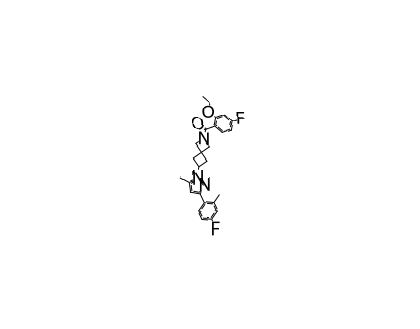 CCOc1cc(F)ccc1C(=O)N1CC2(CC(n3nc(-c4ccc(F)cc4C)cc3C)C2)C1